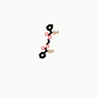 O=C(OCCCOC(=O)C(S)c1ccccc1)C(S)c1ccccc1